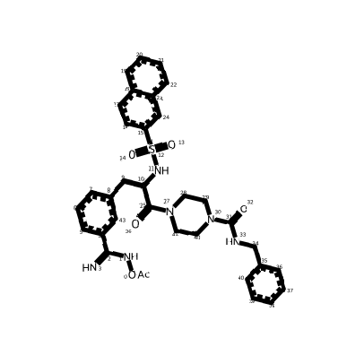 CC(=O)ONC(=N)c1cccc(CC(NS(=O)(=O)c2ccc3ccccc3c2)C(=O)N2CCN(C(=O)NCc3ccccc3)CC2)c1